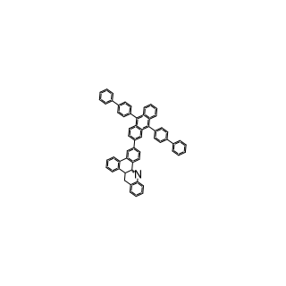 c1ccc(-c2ccc(-c3c4ccccc4c(-c4ccc(-c5ccccc5)cc4)c4cc(-c5ccc6c(c5)-c5ccccc5C5Cc7ccccc7N=C65)ccc34)cc2)cc1